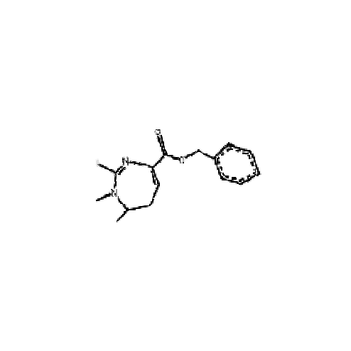 CC1CC=C(C(=O)OCc2ccccc2)N=C(I)N1C